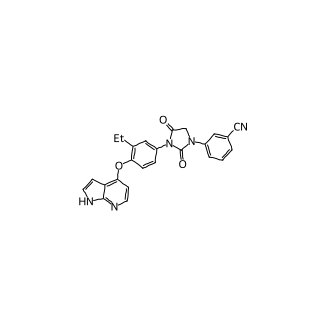 CCc1cc(N2C(=O)CN(c3cccc(C#N)c3)C2=O)ccc1Oc1ccnc2[nH]ccc12